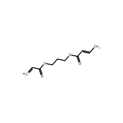 C=CC(=O)OCCCOC(=O)/C=C/C